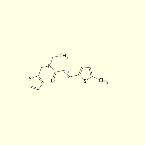 CCN(Cc1cccs1)C(=O)/C=C/c1ccc(C)s1